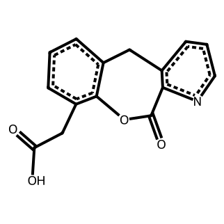 O=C(O)Cc1cccc2c1OC(=O)c1ncccc1C2